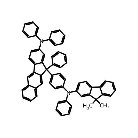 CC1(C)c2ccccc2-c2ccc(N(c3ccccc3)c3ccc(C4(c5ccccc5)c5cc(N(c6ccccc6)c6ccccc6)ccc5-c5cc6ccccc6cc54)cc3)cc21